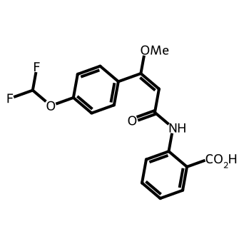 CO/C(=C/C(=O)Nc1ccccc1C(=O)O)c1ccc(OC(F)F)cc1